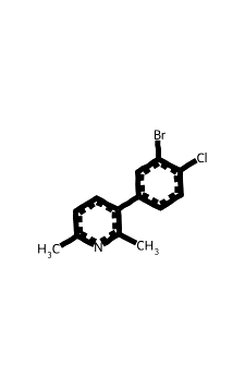 Cc1ccc(-c2ccc(Cl)c(Br)c2)c(C)n1